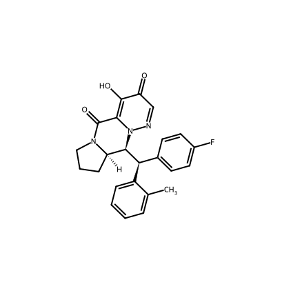 Cc1ccccc1[C@H](c1ccc(F)cc1)[C@H]1[C@H]2CCCN2C(=O)c2c(O)c(=O)cnn21